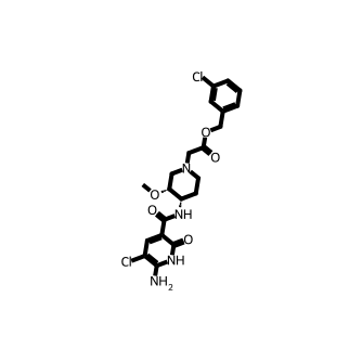 CO[C@@H]1CN(CC(=O)OCc2cccc(Cl)c2)CC[C@@H]1NC(=O)c1cc(Cl)c(N)[nH]c1=O